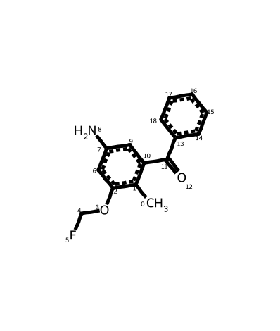 Cc1c(OCF)cc(N)cc1C(=O)c1ccccc1